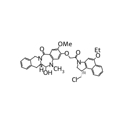 CCOc1cc2c(c3ccccc13)[C@H](CCl)CN2C(=O)COc1cc2c(cc1OC)C(=O)N1Cc3ccccc3C[C@H]1C(O)N2C